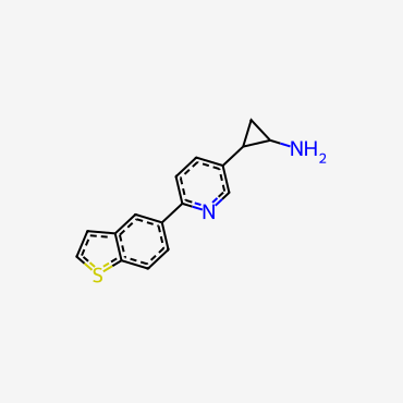 NC1CC1c1ccc(-c2ccc3sccc3c2)nc1